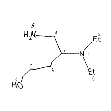 CCN(CC)C(CN)CCO